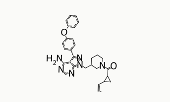 [CH]=CC1CC1C(=O)N1CCCC(Cn2nc(-c3ccc(Oc4ccccc4)cc3)c3c(N)ncnc32)C1